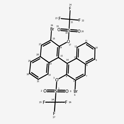 O=S(=O)(Oc1c(Br)cc2ccccc2c1-c1c(OS(=O)(=O)C(F)(F)F)c(Br)cc2ccccc12)C(F)(F)F